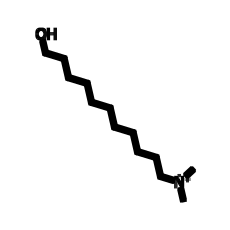 C[N+](C)CCCCCCCCCCCO